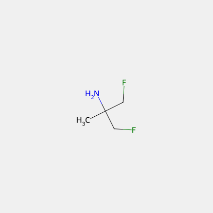 CC(N)(CF)CF